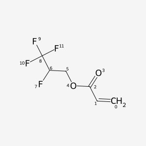 C=CC(=O)OCC(F)C(F)(F)F